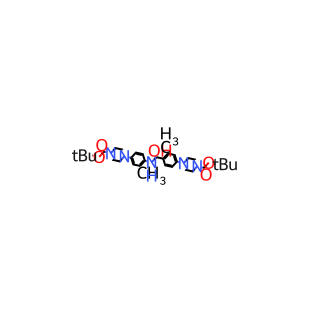 Cc1cc(N2CCN(C(=O)OC(C)(C)C)CC2)ccc1NC(O)c1ccc(N2CCN(C(=O)OC(C)(C)C)CC2)cc1C